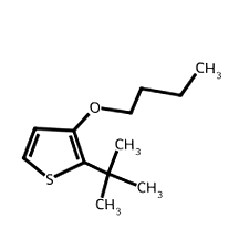 CCCCOc1ccsc1C(C)(C)C